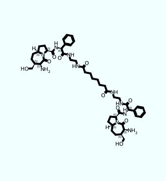 N[C@@H]1C(=O)N2[C@@H](CC[C@@H]1CO)CC[C@H]2C(=O)N[C@H](C(=O)NCCNC(=O)CCCCCCC(=O)NCCNC(=O)[C@@H](NC(=O)[C@@H]1CC[C@@H]2CC[C@H](CO)[C@H](N)C(=O)N21)c1ccccc1)c1ccccc1